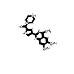 COc1cc2nc(-c3coc(C(=O)N4CCNCC4)c3)nc(N)c2cc1OC